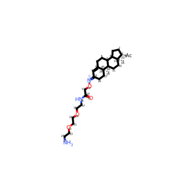 CC(=O)[C@H]1CCC2C3CCC4=C/C(=N/OCC(=O)NCCOCCOCCN)CC[C@]4(C)C3CC[C@@]21C